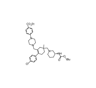 CCOC(=O)c1ccc(N2CCN(CC3=C(c4ccc(Cl)cc4)CCC(C)(CN4CCC[C@H](NC(=O)OC(C)(C)C)C4)C3)CC2)cc1